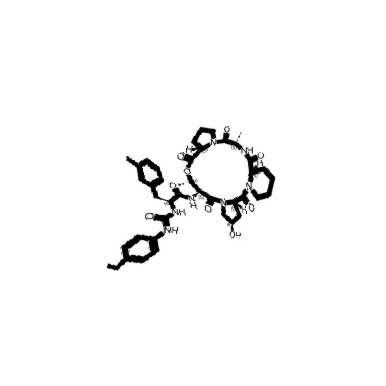 CCc1ccc(NC(=O)N[C@@H](Cc2cccc(C)c2)C(=O)N[C@@H]2C(=O)N3C[C@H](O)C[C@H]3C(=O)N3CCCC[C@H]3C(=O)N[C@@H](C)C(=O)N3CCC[C@H]3C(=O)O[C@H]2C)cc1